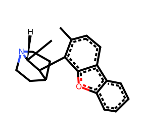 Cc1ccc2c(oc3ccccc32)c1C1C2CCN(CC2)[C@@H]1C